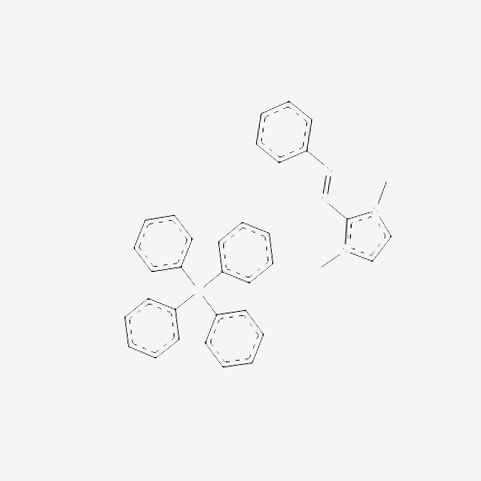 Cn1cc[n+](C)c1N=Nc1ccccc1.c1ccc([B-](c2ccccc2)(c2ccccc2)c2ccccc2)cc1